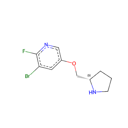 Fc1ncc(OC[C@@H]2CCCN2)cc1Br